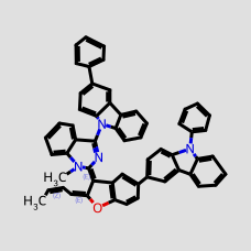 C\C=C/C=c1/oc2ccc(-c3ccc4c(c3)c3ccccc3n4-c3ccccc3)cc2/c1=C1\N=C(n2c3ccccc3c3cc(-c4ccccc4)ccc32)c2ccccc2N1C